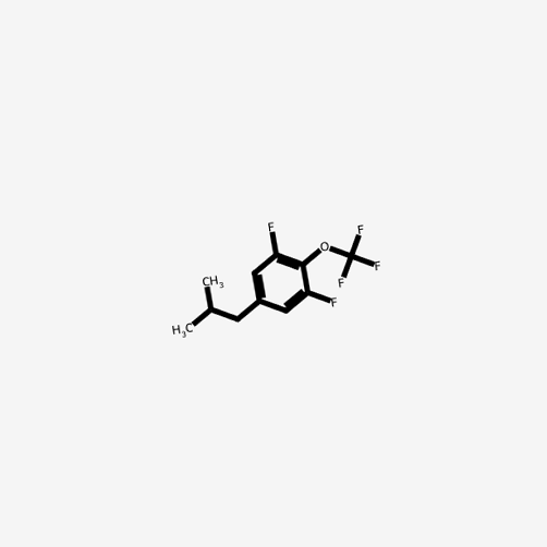 CC(C)Cc1cc(F)c(OC(F)(F)F)c(F)c1